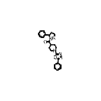 O=C(C1CCN(c2nnc(-c3ccccc3)o2)CC1)N1N=CCC1c1ccccc1